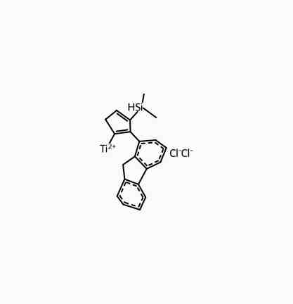 C[SiH](C)C1=CC[C]([Ti+2])=C1c1cccc2c1Cc1ccccc1-2.[Cl-].[Cl-]